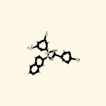 N#Cc1ccc(C2=NN(c3ccc4ccccc4c3)N(c3cc(Cl)cc([N+](=O)[O-])c3)N2)cc1